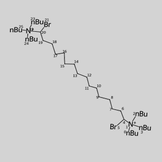 CCCC[N+](CCCC)(CCCC)C(Br)CCCCCCCCCCCCCCC(Br)[N+](CCCC)(CCCC)CCCC